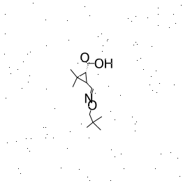 CC(C)(C)CON=CC1[C@@H](C(=O)O)C1(C)C